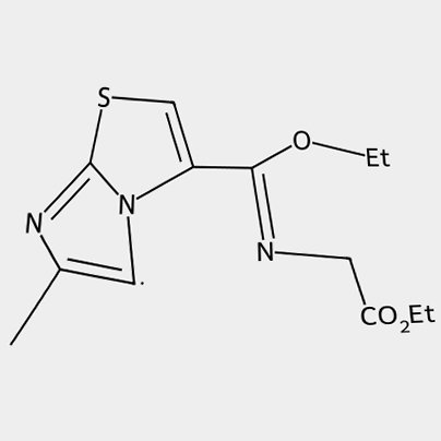 CCOC(=O)CN=C(OCC)c1csc2nc(C)[c]n12